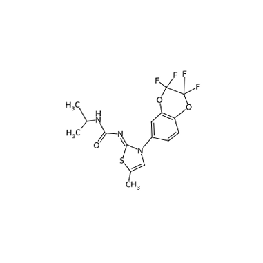 Cc1cn(-c2ccc3c(c2)OC(F)(F)C(F)(F)O3)c(=NC(=O)NC(C)C)s1